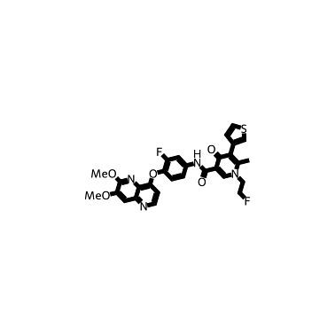 COc1cc2nccc(Oc3ccc(NC(=O)c4cn(CCF)c(C)c(-c5ccsc5)c4=O)cc3F)c2nc1OC